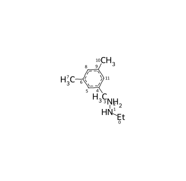 CCNN.Cc1cc(C)cc(C)c1